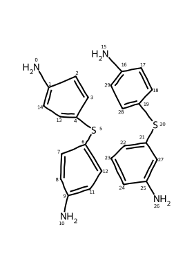 Nc1ccc(Sc2ccc(N)cc2)cc1.Nc1ccc(Sc2cccc(N)c2)cc1